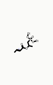 C/C=C/C(=O)OC(C)CP(=O)(OCC)OCC